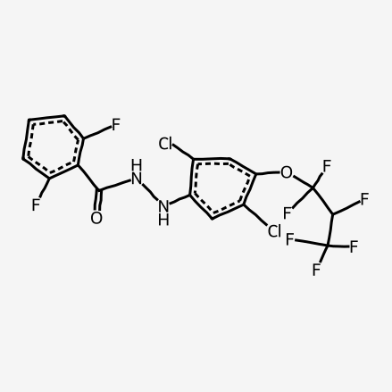 O=C(NNc1cc(Cl)c(OC(F)(F)C(F)C(F)(F)F)cc1Cl)c1c(F)cccc1F